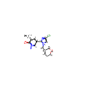 Cc1cc(-c2nc(Br)cn2CC2CCCOC2)c[nH]c1=O